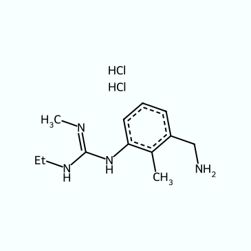 CCNC(=NC)Nc1cccc(CN)c1C.Cl.Cl